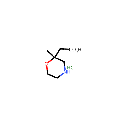 CC1(CC(=O)O)CNCCO1.Cl